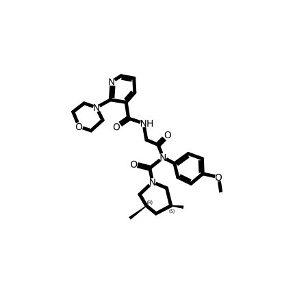 COc1ccc(N(C(=O)CNC(=O)c2cccnc2N2CCOCC2)C(=O)N2C[C@H](C)C[C@H](C)C2)cc1